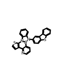 c1cnc2c(c1)B1N(c3ccc4sc5ccccc5c4c3)c3ccccc3N1c1sccc1-2